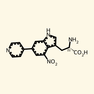 N[C@@H](Cc1c[nH]c2cc(-c3ccncc3)cc([N+](=O)[O-])c12)C(=O)O